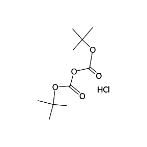 CC(C)(C)OC(=O)OC(=O)OC(C)(C)C.Cl